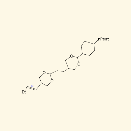 CC/C=C/C1COC(CCC2COC(C3CCC(CCCCC)CC3)OC2)OC1